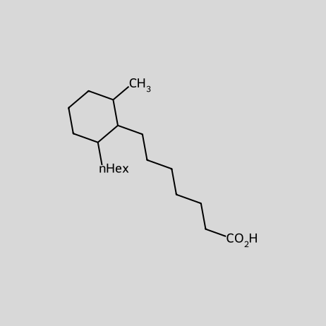 CCCCCCC1CCCC(C)C1CCCCCCC(=O)O